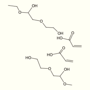 C=CC(=O)O.C=CC(=O)O.CCOC(O)COCCO.COC(O)COCCO